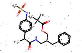 CC(C(=O)NCC(COC(=O)C(C)(C)C)Cc1ccccc1)c1ccc(NS(C)(=O)=O)cc1